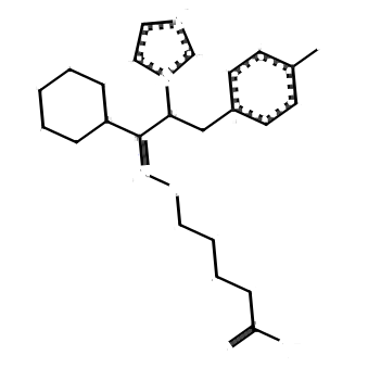 O=C(O)CCCCO/N=C(/C1CCCCC1)C(Cc1ccc(F)cc1)n1ccnc1